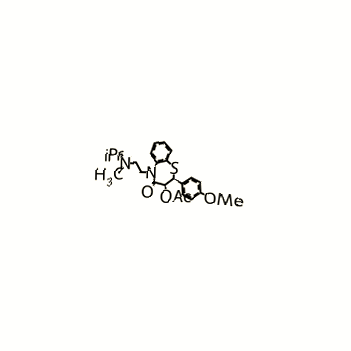 COc1ccc([C@@H]2Sc3ccccc3N(CCN(C)C(C)C)C(=O)[C@@H]2OC(C)=O)cc1